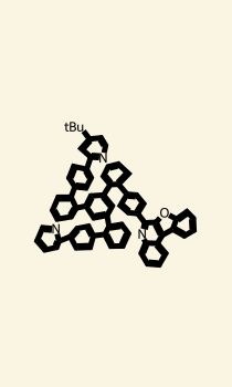 CC(C)(C)c1ccnc(-c2ccc(-c3ccccc3-c3cc(-c4ccccc4-c4ccc(-c5ccccn5)cc4)cc(-c4ccccc4-c4ccc(-c5nc6ccccc6c6c5oc5ccccc56)cc4)c3)cc2)c1